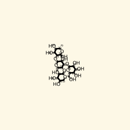 C[C@@H]1OC(O)[C@@H](OC2O[C@@H](C)[C@H](OC3OC[C@@H](O)[C@H](O)[C@H]3O)[C@@H](OC3O[C@H](CO)[C@@H](O)[C@H](O)[C@H]3O)[C@H]2O)[C@H](O)[C@@H]1O